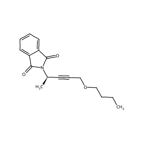 CCCCOCC#C[C@@H](C)N1C(=O)c2ccccc2C1=O